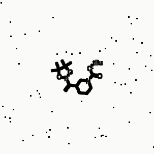 C=C(B1OC(C)(C)C(C)(C)O1)C1CCCN(C(=O)OC(C)(C)C)C1